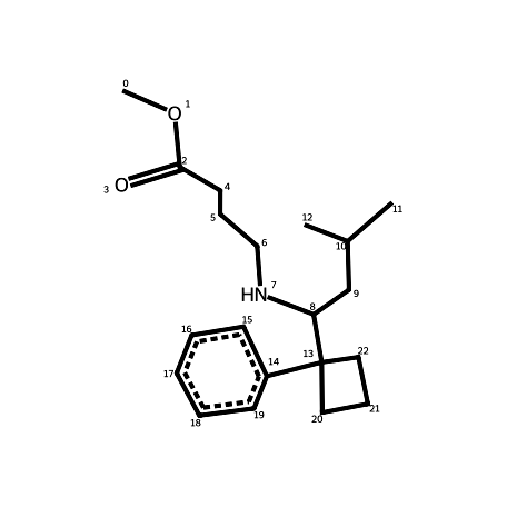 COC(=O)CCCNC(CC(C)C)C1(c2ccccc2)CCC1